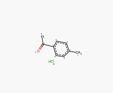 CCC(=O)c1ccc(C)cc1.Cl